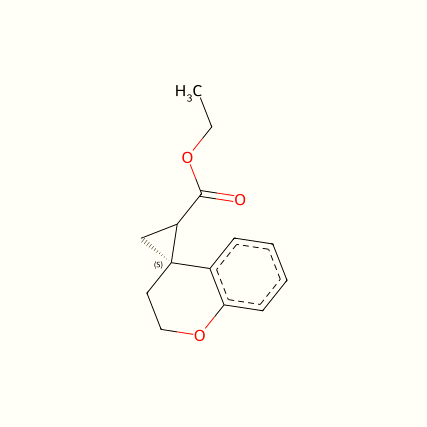 CCOC(=O)C1C[C@]12CCOc1ccccc12